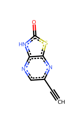 C#Cc1cnc2[nH]c(=O)sc2n1